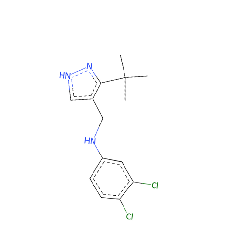 CC(C)(C)c1n[nH]cc1CNc1ccc(Cl)c(Cl)c1